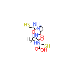 C[C@H](NC(=O)[C@@H]1CCCN1C(=O)[C@@H](N)CS)C(=O)N[C@@H](CS)C(=O)O